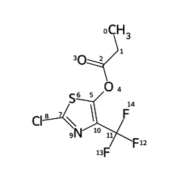 CCC(=O)Oc1sc(Cl)nc1C(F)(F)F